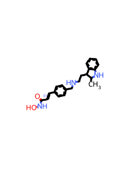 CC1Nc2ccccc2C1CCNCc1ccc(/C=C/C(=O)NO)cc1